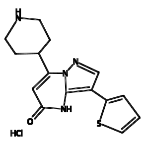 Cl.O=c1cc(C2CCNCC2)n2ncc(-c3cccs3)c2[nH]1